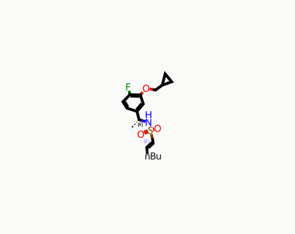 CCCC/C=C/S(=O)(=O)N[C@H](C)c1ccc(F)c(OCC2CC2)c1